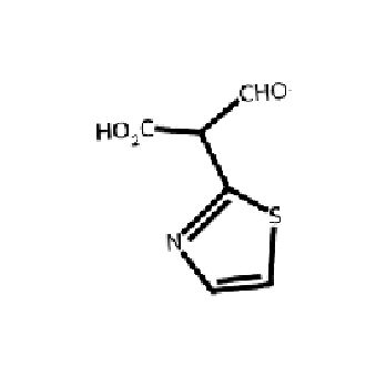 O=[C]C(C(=O)O)c1nccs1